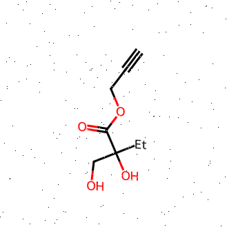 C#CCOC(=O)C(O)(CC)CO